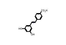 O=C(O)c1ccc(/C=C/c2cc(O)cc(O)c2)cc1